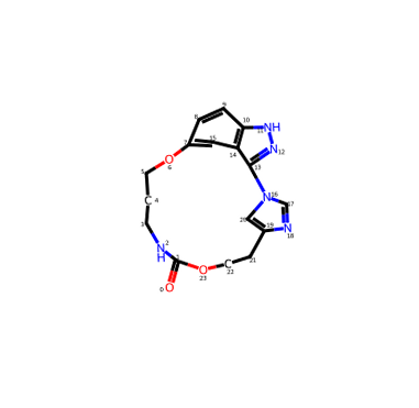 O=C1NCCCOc2ccc3[nH]nc(c3c2)-n2cnc(c2)CCO1